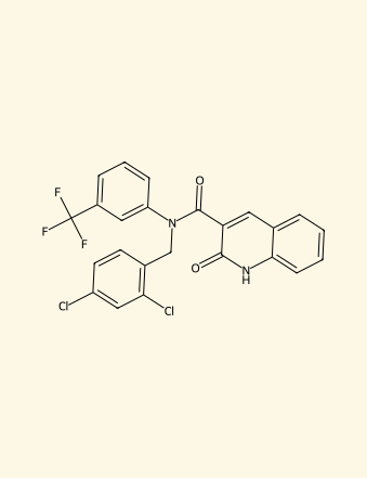 O=C(c1cc2ccccc2[nH]c1=O)N(Cc1ccc(Cl)cc1Cl)c1cccc(C(F)(F)F)c1